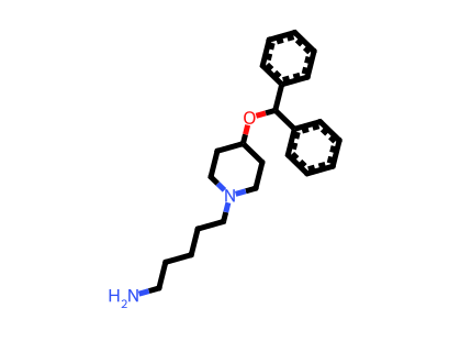 NCCCCCN1CCC(OC(c2ccccc2)c2ccccc2)CC1